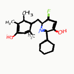 CC1=CC(O)=C(C)C(C)C1CC1N=C(C2CCCCC2)C(O)=CC1F